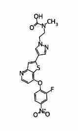 CN(CCn1cc(-c2cc3nccc(Oc4ccc([N+](=O)[O-])cc4F)c3s2)cn1)C(=O)O